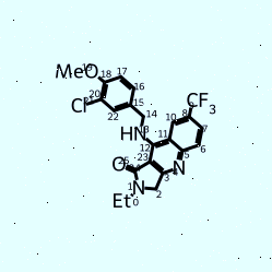 CCN1Cc2nc3ccc(C(F)(F)F)cc3c(NCc3ccc(OC)c(Cl)c3)c2C1=O